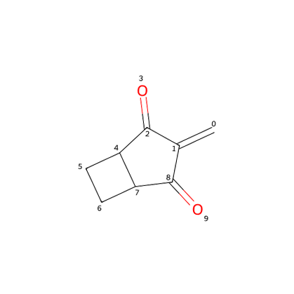 C=C1C(=O)C2CCC2C1=O